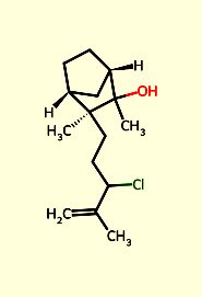 C=C(C)C(Cl)CC[C@@]1(C)[C@@H]2CC[C@@H](C2)C1(C)O